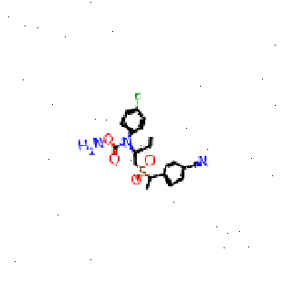 CCC(CS(=O)(=O)C(C)c1ccc(C#N)cc1)N(C(=O)ON)c1ccc(F)cc1